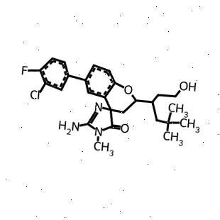 CN1C(=O)C2(CC(C(CCO)CC(C)(C)C)Oc3ccc(-c4ccc(F)c(Cl)c4)cc32)N=C1N